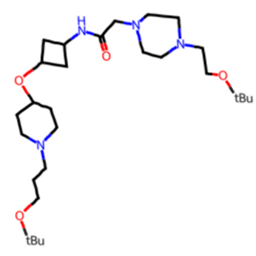 CC(C)(C)OCCCN1CCC(OC2CC(NC(=O)CN3CCN(CCOC(C)(C)C)CC3)C2)CC1